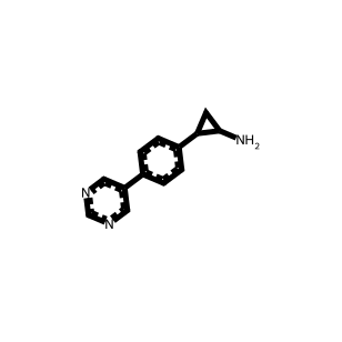 NC1CC1c1ccc(-c2cncnc2)cc1